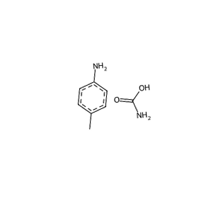 Cc1ccc(N)cc1.NC(=O)O